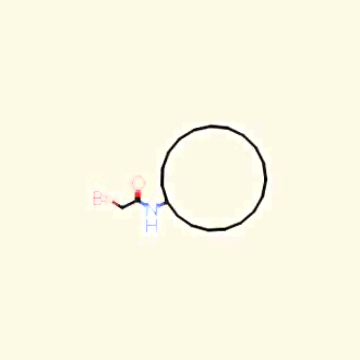 O=C(CBr)NC1CCCCCCCCCCCCCCCCCC1